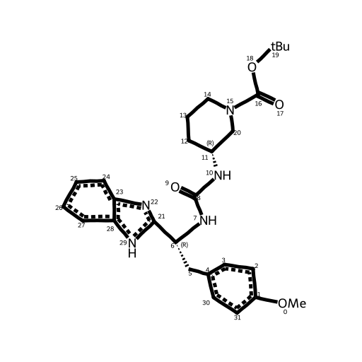 COc1ccc(C[C@@H](NC(=O)N[C@@H]2CCCN(C(=O)OC(C)(C)C)C2)c2nc3ccccc3[nH]2)cc1